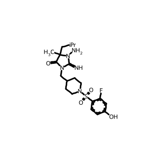 CC(C)CC1(C)C(=O)N(CC2CCN(S(=O)(=O)c3ccc(O)cc3F)CC2)C(=N)N1N